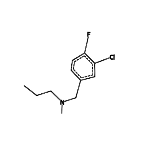 CCCN(C)Cc1ccc(F)c(Cl)c1